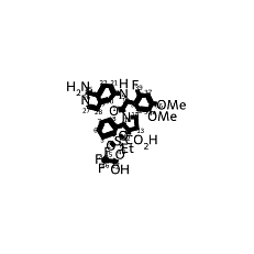 CCS(=O)(=O)c1ccccc1C1C(C(=O)O)CCN1C(=O)[C@H](Nc1ccc2c(N)nccc2c1)c1cc(OC)c(OC)cc1F.O=C(O)C(F)(F)F